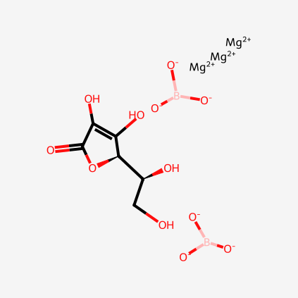 O=C1O[C@H]([C@@H](O)CO)C(O)=C1O.[Mg+2].[Mg+2].[Mg+2].[O-]B([O-])[O-].[O-]B([O-])[O-]